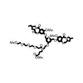 C/C=C1\C[C@H]2C=Nc3cc(OCc4cc(OCCN(CCCC(=O)OC)C(=O)CCOCCOCCOCCOC)cc(COc5cc6c(cc5OC)C(=O)N5CC(C)CC5C=N6)n4)c(OC)cc3C(=O)N2C1